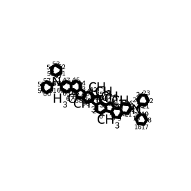 Cc1cc2c(c3c1-c1ccc4cc(N(c5ccccc5)c5ccccc5)ccc4c1C3(C)C)C(C)(C)c1c-2cc2c(c1C)-c1ccc3cc(N(c4ccccc4)c4ccccc4)ccc3c1C2(C)C